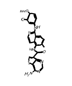 COc1ccc(Nc2nccc3c(NC(=O)c4csc5c(N)ncnc45)c(C)ccc23)cc1Cl